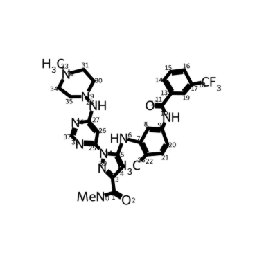 CNC(=O)c1cc(Nc2cc(NC(=O)c3cccc(C(F)(F)F)c3)ccc2C)n(-c2cc(NN3CCN(C)CC3)ncn2)n1